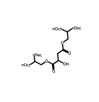 CCCCCCCCCCC(CCCCCCCC)COC(=O)CC(O)C(=O)OCC(CCCCCCCC)CCCCCCCCCC